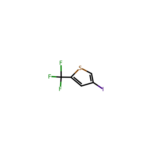 FC(F)(F)c1cc(I)cs1